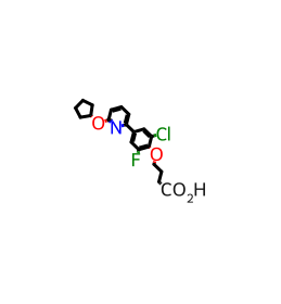 O=C(O)CCCOc1c(F)cc(-c2cccc(OC3CCCC3)n2)cc1Cl